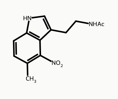 CC(=O)NCCc1c[nH]c2ccc(C)c([N+](=O)[O-])c12